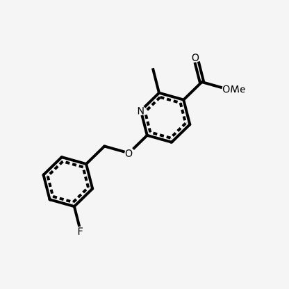 COC(=O)c1ccc(OCc2cccc(F)c2)nc1C